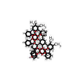 Cc1cc2c(c(-c3cc(-c4nnnc(-c5c(C)c(C)cc6c5Cc5ccccc5-6)c4-c4ccccc4)c(-c4c(C)c(C)cc5c4Cc4ccccc4-5)c(-c4nnnc(-c5ccccc5)c4-c4ccccc4)c3-c3c(C)c(C)cc4c3Cc3ccccc3-4)c1C)Cc1ccccc1-2